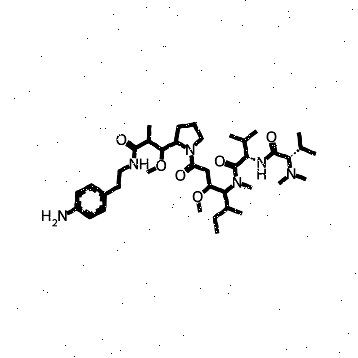 CCC(C)C(C(CC(=O)N1CCCC1C(OC)C(C)C(=O)NCCc1ccc(N)cc1)OC)N(C)C(=O)[C@@H](NC(=O)[C@H](C(C)C)N(C)C)C(C)C